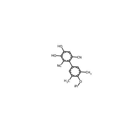 Cc1cc(-c2c(C#N)cc(O)c(O)c2C#N)cc(C)c1OC(C)C